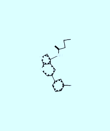 CCCC(=O)Nc1c[nH]c2ncc(-c3cccc(F)c3)cc12